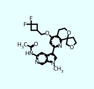 CC(=O)Nc1cc2c(-c3cc(OCC4CC(F)(F)C4)c4c(n3)C3(CCOC3)OCC4)cn(C)c2cn1